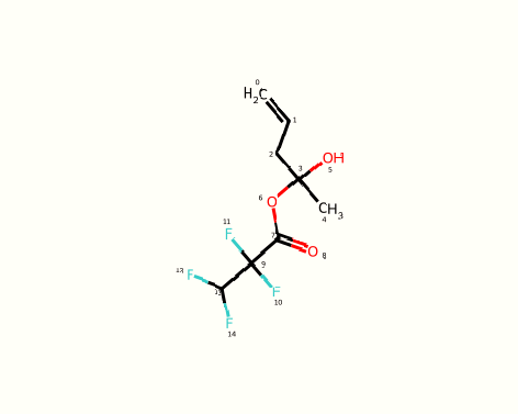 C=CCC(C)(O)OC(=O)C(F)(F)C(F)F